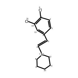 Clc1ccc(/C=C/N2CCCCC2)cc1Cl